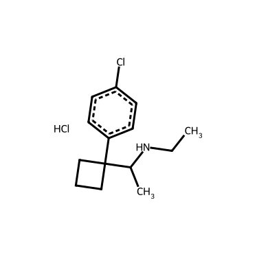 CCNC(C)C1(c2ccc(Cl)cc2)CCC1.Cl